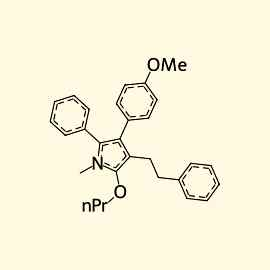 CCCOc1c(CCc2ccccc2)c(-c2ccc(OC)cc2)c(-c2ccccc2)n1C